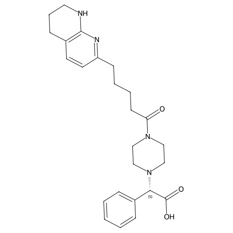 O=C(O)[C@H](c1ccccc1)N1CCN(C(=O)CCCCc2ccc3c(n2)NCCC3)CC1